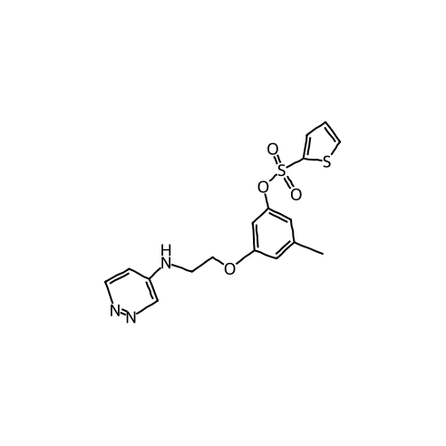 Cc1cc(OCCNc2ccnnc2)cc(OS(=O)(=O)c2cccs2)c1